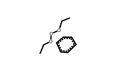 CCOOOCC.c1ccccc1